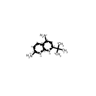 CC(C)(C)c1cc(N)c2ccc(N)nc2n1